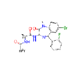 CCCC(=O)N[C@@H](C)C(=O)NC1N=C(c2ccccc2F)c2cc(Br)ccc2N(C)C1=O